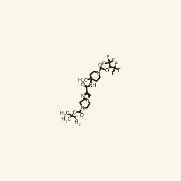 CC1(NC(=O)c2cn3c(n2)CN(C(=O)OC(C)(C)C)CC3)CCN(C(=O)OC(C(F)(F)F)C(F)(F)F)CC1